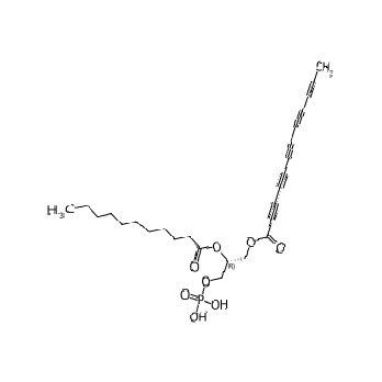 CC#CC#CC#CC#CC#CC(=O)OC[C@H](COP(=O)(O)O)OC(=O)CCCCCCCCCC